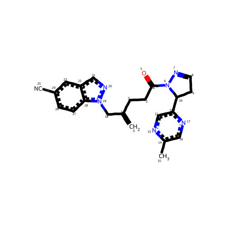 C=C(CCC(=O)N1N=CCC1c1cnc(C)cn1)Cn1ncc2cc(C#N)ccc21